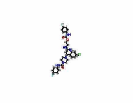 O=C(Nc1ccc(F)cc1)OCCNc1cc(N2CCN(C(=O)Nc3ccc(F)cc3)CC2)c2ccc(Cl)cc2n1